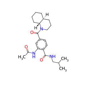 CC(=O)Nc1cc(C(=O)N2CCC[C@@H]3CCCC[C@H]32)ccc1C(=O)NCC(C)C